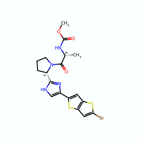 COC(=O)N[C@H](C)C(=O)N1CCC[C@H]1c1nc(-c2cc3sc(Br)cc3s2)c[nH]1